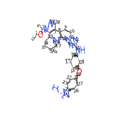 CCOC(C)n1cc(-c2ccc3nc(N[C@@H]4CCC[C@H](Oc5ccc(N)cc5)C4)nn3c2N2CCCCC2)cn1